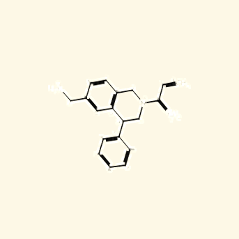 C=CC(=C)N1Cc2ccc(CC)cc2C(c2ccccc2)C1